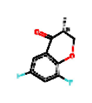 C[C@@H]1COc2c(F)cc(F)cc2C1=O